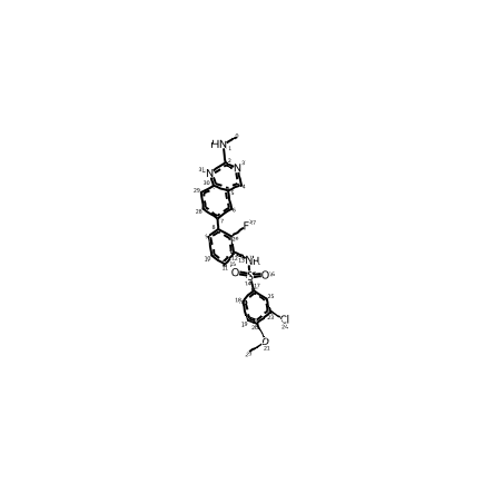 CNc1ncc2cc(-c3cccc(NS(=O)(=O)c4ccc(OC)c(Cl)c4)c3F)ccc2n1